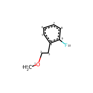 [CH2]OCCc1ccccc1F